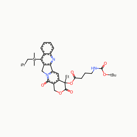 CCC1(OC(=O)CCCNC(=O)OC(C)(C)C)C(=O)OCc2c1cc1n(c2=O)Cc2c-1nc1ccccc1c2[Si](C)(C)CC(C)C